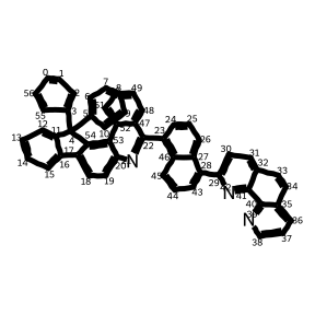 c1ccc(C2(c3ccccc3)c3ccccc3-c3ccc4nc(-c5cccc6c(-c7ccc8ccc9cccnc9c8n7)cccc56)c5ccccc5c4c32)cc1